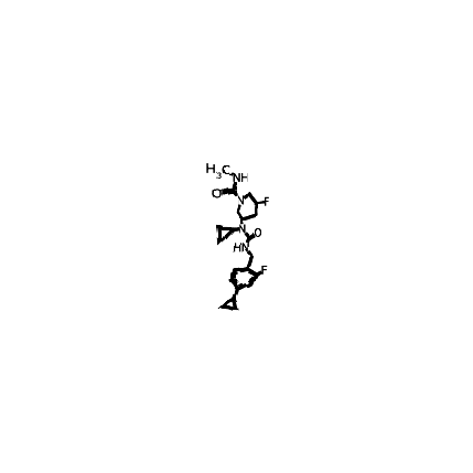 CNC(=O)N1C[C@@H](F)C[C@@H](N(C(=O)NCc2ccc(C3CC3)cc2F)C2CC2)C1